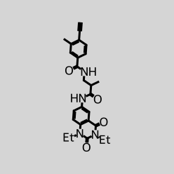 C#Cc1ccc(C(=O)NCC(C)C(=O)Nc2ccc3c(c2)c(=O)n(CC)c(=O)n3CC)cc1C